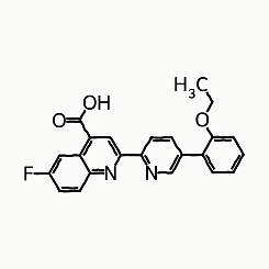 CCOc1ccccc1-c1ccc(-c2cc(C(=O)O)c3cc(F)ccc3n2)nc1